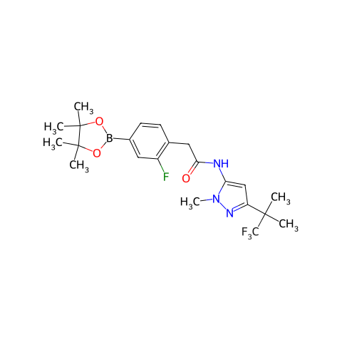 Cn1nc(C(C)(C)C(F)(F)F)cc1NC(=O)Cc1ccc(B2OC(C)(C)C(C)(C)O2)cc1F